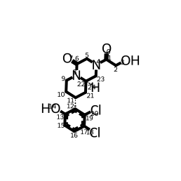 O=C(CO)N1CC(=O)N2CC[C@@H](c3c(O)ccc(Cl)c3Cl)C[C@@H]2C1